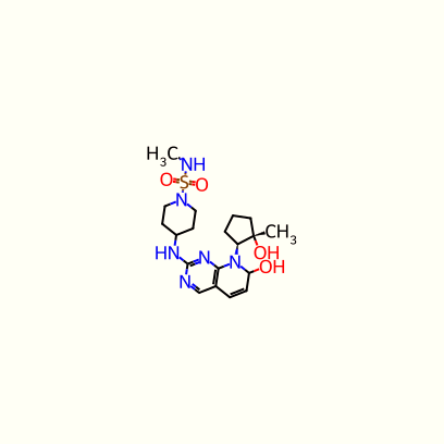 CNS(=O)(=O)N1CCC(Nc2ncc3c(n2)N([C@H]2CCC[C@]2(C)O)C(O)C=C3)CC1